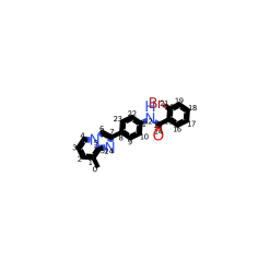 Cc1cccn2cc(-c3ccc(NC(=O)c4ccccc4Br)cc3)nc12